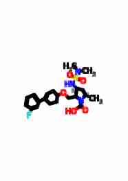 C[C@@H]1C[C@H](NS(=O)(=O)N(C)C)C(COC2CC=C(c3cccc(F)c3)CC2)N1C(=O)O